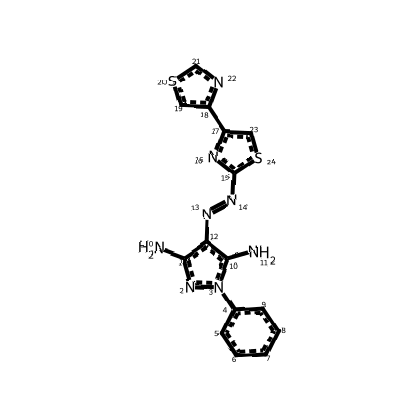 Nc1nn(-c2ccccc2)c(N)c1N=Nc1nc(-c2cscn2)cs1